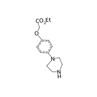 CCOC(=O)COc1ccc(N2CCNCC2)cc1